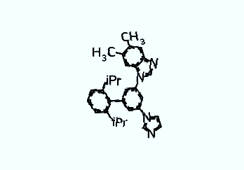 Cc1cc2ncn(-c3cc(-c4c(C(C)C)cccc4C(C)C)cc(-n4ccnc4)c3)c2cc1C